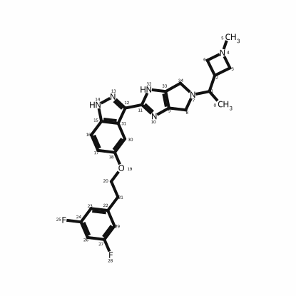 CC(C1CN(C)C1)N1Cc2nc(-c3n[nH]c4ccc(OCCc5cc(F)cc(F)c5)cc34)[nH]c2C1